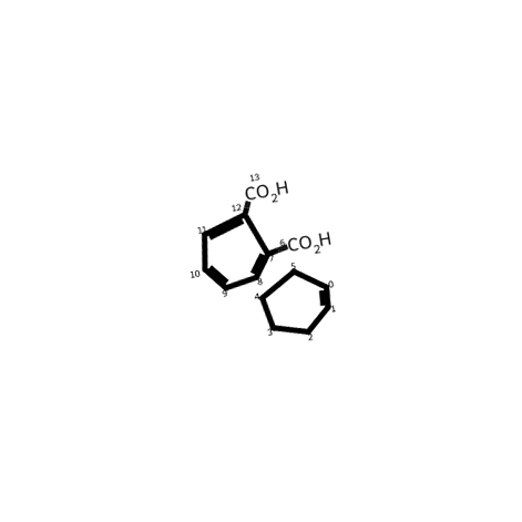 C1=CCCCC1.O=C(O)c1ccccc1C(=O)O